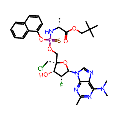 Cc1nc(N(C)C)c2ncn([C@@H]3O[C@](CCl)(COP(=S)(N[C@H](C)C(=O)OCC(C)(C)C)Oc4cccc5ccccc45)[C@@H](O)[C@H]3F)c2n1